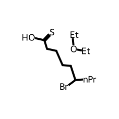 CCCC(Br)CCCCC(O)=S.CCOCC